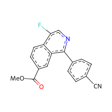 COC(=O)c1ccc2c(F)cnc(-c3ccc(C#N)cc3)c2c1